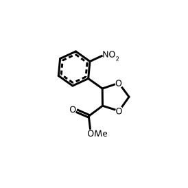 COC(=O)C1OCOC1c1ccccc1[N+](=O)[O-]